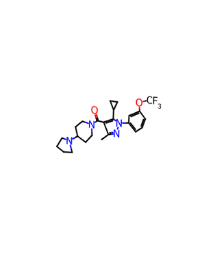 Cc1nn(-c2cccc(OC(F)(F)F)c2)c(C2CC2)c1C(=O)N1CCC(N2CCCC2)CC1